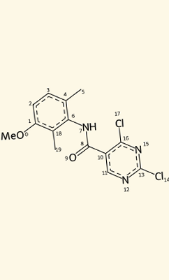 COc1ccc(C)c(NC(=O)c2cnc(Cl)nc2Cl)c1C